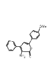 COc1ccc(-c2cc(-c3ccccc3)c(N)c(=O)o2)cc1